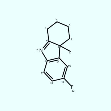 CC12CCCCC1=Nc1ccc(F)cc12